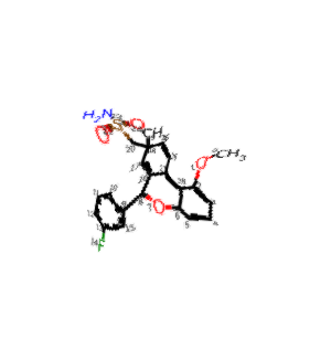 COC1=CC=CC2OC(c3cccc(F)c3)C3=CC(C)(CS(N)(=O)=O)C=CC3=C12